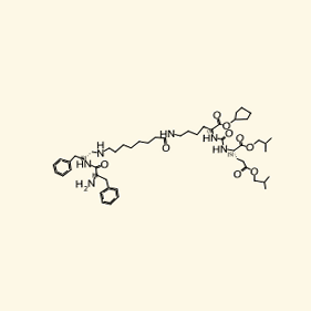 CC(C)COC(=O)CC[C@H](NC(=O)N[C@@H](CCCCNC(=O)CCCCCCCNC[C@@H](Cc1ccccc1)NC(=O)[C@H](N)Cc1ccccc1)C(=O)OC1CCCC1)C(=O)OCC(C)C